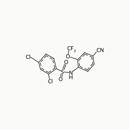 N#Cc1ccc(NS(=O)(=O)c2ccc(Cl)cc2Cl)c(OC(F)(F)F)c1